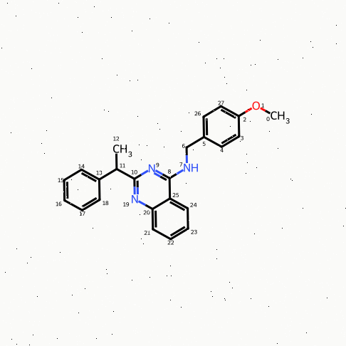 COc1ccc(CNc2nc(C(C)c3ccccc3)nc3ccccc23)cc1